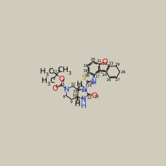 CC(C)(C)OC(=O)N1CC[C@H]2NC(=O)N(c3nc4c(ccc5oc6c(c54)C=CCC6)s3)[C@H]2C1